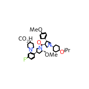 COC[C@@H]1C[C@@H](c2ccc(F)cc2N2CCC(C(=O)O)CC2)CN1C(=O)[C@@H]1CN([C@H]2CC[C@H](OC(C)C)CC2)C[C@H]1c1ccc(OC)cc1